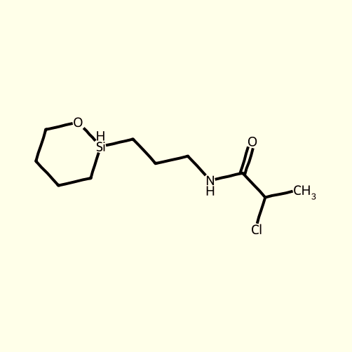 CC(Cl)C(=O)NCCC[SiH]1CCCCO1